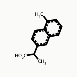 Cc1cccc2cc(C(C)C(=O)O)ccc12